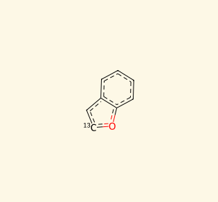 c1ccc2o[13cH]cc2c1